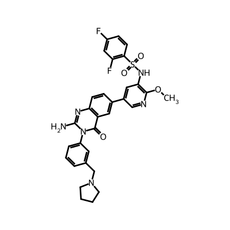 COc1ncc(-c2ccc3nc(N)n(-c4cccc(CN5CCCC5)c4)c(=O)c3c2)cc1NS(=O)(=O)c1ccc(F)cc1F